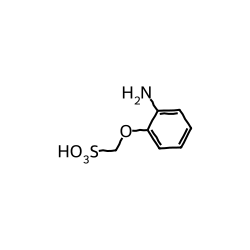 Nc1ccccc1OCS(=O)(=O)O